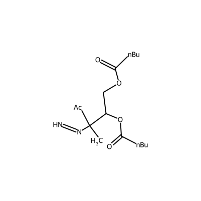 CCCCC(=O)OCC(OC(=O)CCCC)C(C)(N=N)C(C)=O